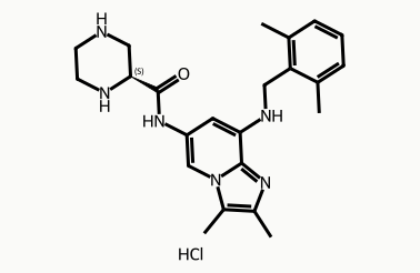 Cc1cccc(C)c1CNc1cc(NC(=O)[C@@H]2CNCCN2)cn2c(C)c(C)nc12.Cl